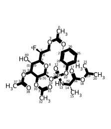 CC(=O)OC[C@H](F)C1O[C@@H](OP(=O)(N[C@@H](C)C(=O)OC(C)C)Oc2ccccc2)C(OC(C)=O)C(OC(C)=O)[C@@H]1O